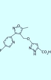 Cc1onc(-c2ccc(F)cn2)c1COc1cc(C(=O)O)[nH]n1